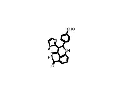 Cn1ccnc1C1c2n[nH]c(=O)c3cccc(c23)NC1c1ccc(C=O)cc1